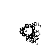 COc1ccc2cc1Oc1ccc(cc1)C[C@H]1c3cc(ccc3CCN1C)Oc1c(OC)c(OC)c(CN3CCSCC3)c3c1[C@H](C2)N(C)CC3